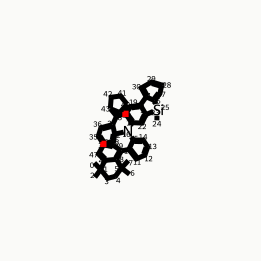 CC1(C)CCC(C)(C)c2c(-c3ccccc3N(c3ccc4c(c3)[Si](C)(C)c3ccccc3-4)c3ccccc3C3CC4CCC3C4)cccc21